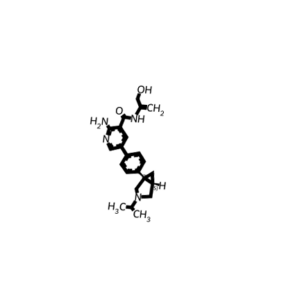 C=C(CO)NC(=O)c1cc(-c2ccc([C@@]34C[C@@H]3CN(C(C)C)C4)cc2)cnc1N